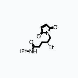 CC[C@H](CCC(=O)NC(C)C)CN1C(=O)C=CC1=O